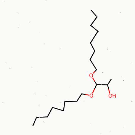 CCCCCCCCOC(OCCCCCCCC)C(C)O